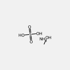 CO.N.O=S(=O)(O)O